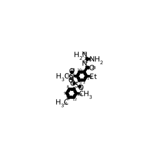 CCc1cc(S(=O)(=O)c2ccc(C)cc2C)c(S(C)(=O)=O)cc1C(=O)N=C(N)N